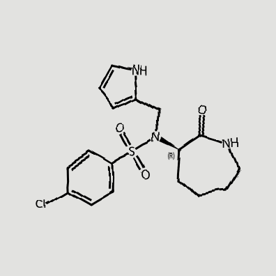 O=C1NCCCC[C@H]1N(Cc1ccc[nH]1)S(=O)(=O)c1ccc(Cl)cc1